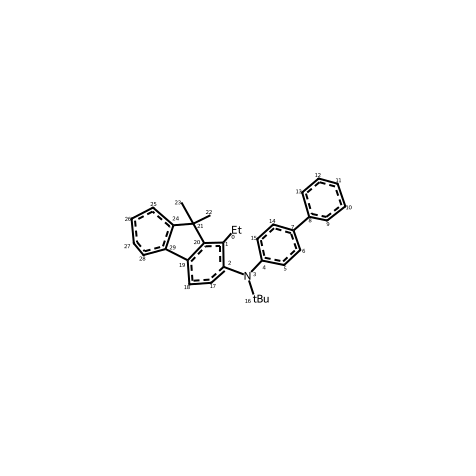 CCc1c(N(c2ccc(-c3ccccc3)cc2)C(C)(C)C)ccc2c1C(C)(C)c1ccccc1-2